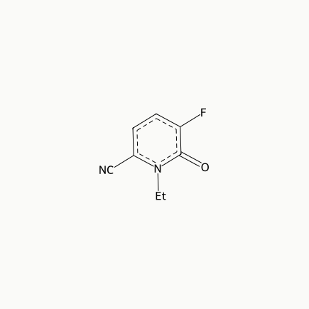 CCn1c(C#N)ccc(F)c1=O